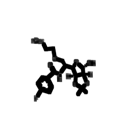 CCCCCCCCCCCCOC[C@H](NC(=O)c1ccc(F)cc1)[C@H]1O[C@H](O)[C@H]2OC(C)(C)O[C@@H]12